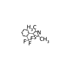 Cc1nc(C)c(-c2ccccc2C(F)(F)F)s1